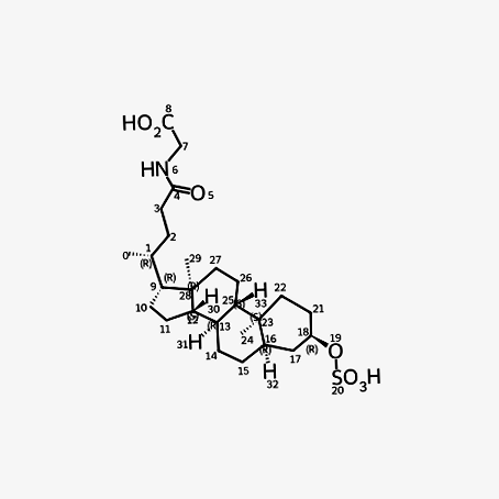 C[C@H](CCC(=O)NCC(=O)O)[C@H]1CC[C@H]2[C@@H]3CC[C@@H]4C[C@H](OS(=O)(=O)O)CC[C@]4(C)[C@H]3CC[C@]12C